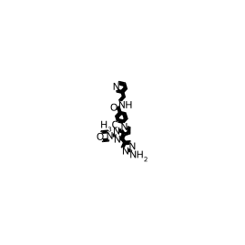 Cc1cc(C(=O)NCCc2cccnc2)ccc1N1CCc2c(-c3cnc(N)nc3)nc(N3CCOCC3)nc21